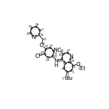 CCOc1cc(C(C)(C)C)cc2c(Nc3ccc(OCc4ccccn4)c(Cl)c3)c(C#N)cnc12